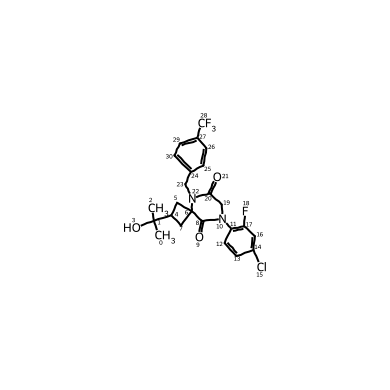 CC(C)(O)C1CC2(C1)C(=O)N(c1ccc(Cl)cc1F)CC(=O)N2Cc1ccc(C(F)(F)F)cc1